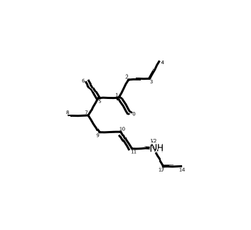 C=C(CCC)C(=C)C(C)C/C=C/NCC